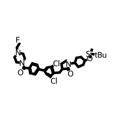 CC(C)(C)[Si](C)(C)OC1CCC(N2CCC(Cc3c(Cl)cc(-c4ccc(C(=O)N5CCN(CCF)CC5)cc4)cc3Cl)C2=O)CC1